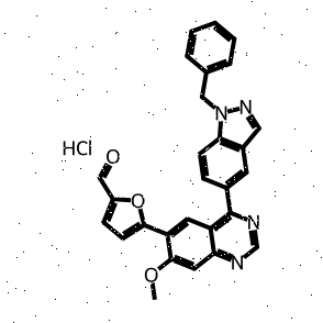 COc1cc2ncnc(-c3ccc4c(cnn4Cc4ccccc4)c3)c2cc1-c1ccc(C=O)o1.Cl